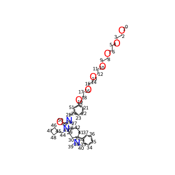 COCCOCCOCCOCCOCCOCCOc1cccc(CN2C[C@]3(CC[C@@](c4ccccc4)(N(C)C)CC3)N(CC3CCC3)C2=O)c1